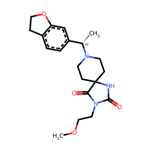 COCCN1C(=O)NC2(CCN([C@@H](C)c3ccc4c(c3)OCC4)CC2)C1=O